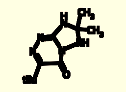 CC1(C)Nc2nnc(C(C)(C)C)c(=O)n2N1